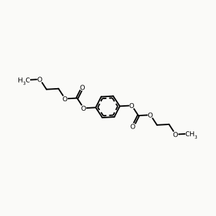 COCCOC(=O)Oc1ccc(OC(=O)OCCOC)cc1